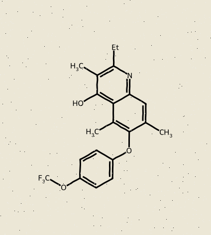 CCc1nc2cc(C)c(Oc3ccc(OC(F)(F)F)cc3)c(C)c2c(O)c1C